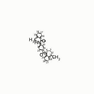 C=C1CCCN(C(=O)c2ccc(NC(=O)c3ccccc3C)cc2)c2ccccc21